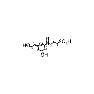 O=S(=O)(O)CCCNC1CC(O)C/C(=C\CO)O1